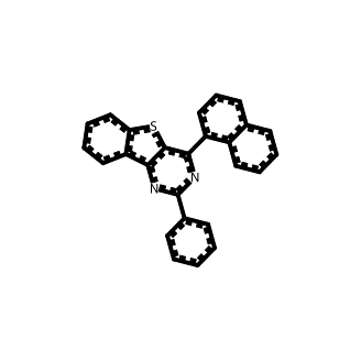 c1ccc(-c2nc(-c3cccc4ccccc34)c3sc4ccccc4c3n2)cc1